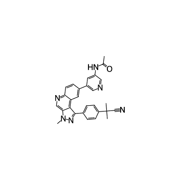 CC(=O)Nc1cncc(-c2ccc3ncc4c(c(-c5ccc(C(C)(C)C#N)cc5)nn4C)c3c2)c1